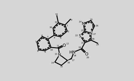 Cc1ccc(-c2ccccc2C(=O)N2CC[C@@H]2CNC(=O)c2sc3nccn3c2C)cc1C